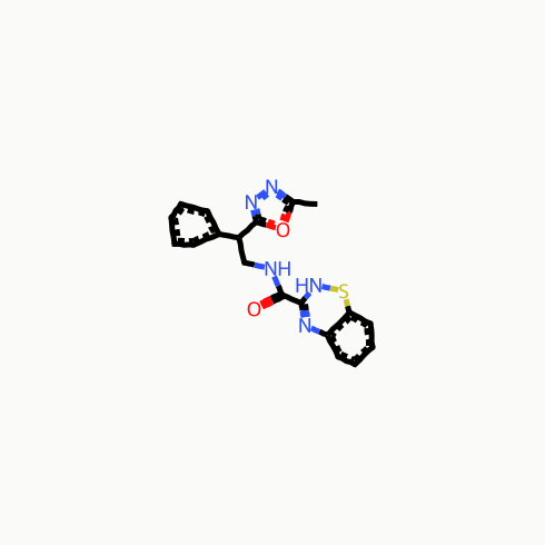 Cc1nnc(C(CNC(=O)C2=Nc3ccccc3SN2)c2ccccc2)o1